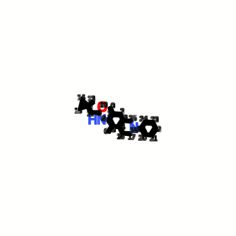 Cc1cc2c(c(C)c1NC(=O)CC1(C)CC1)CCN(c1ccccc1)C2